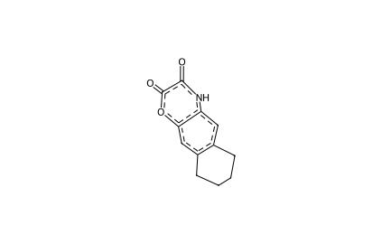 O=c1[nH]c2cc3c(cc2oc1=O)CCCC3